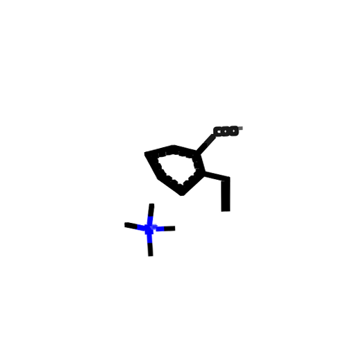 C=Cc1ccccc1C(=O)[O-].C[N+](C)(C)C